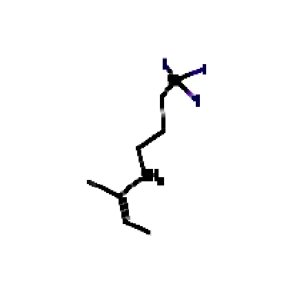 CC=C(C)[SiH2]CCC[Si](I)(I)I